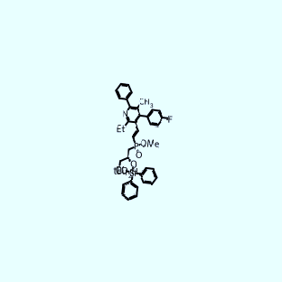 CCc1nc(-c2ccccc2)c(C)c(-c2ccc(F)cc2)c1/C=C/P(=O)(C[C@H](CC(=O)O)O[Si](c1ccccc1)(c1ccccc1)C(C)(C)C)OC